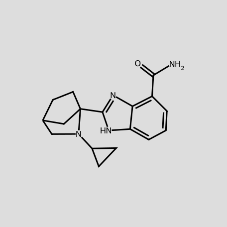 NC(=O)c1cccc2[nH]c(C34CCC(CN3C3CC3)C4)nc12